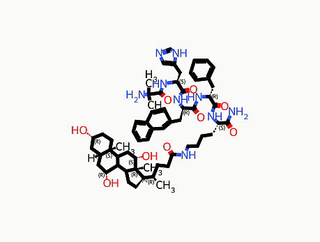 C[C@H](CCC(=O)NCCCC[C@H](NC(=O)[C@@H](Cc1ccccc1)NC(=O)[C@@H](Cc1ccc2ccccc2c1)NC(=O)[C@H](Cc1cnc[nH]1)NC(=O)C(C)(C)N)C(N)=O)[C@H]1CCC2C3C(C[C@H](O)[C@@]21C)[C@@]1(C)CC[C@@H](O)C[C@H]1C[C@H]3O